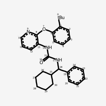 CC(C)(C)c1ccccc1Oc1ncccc1NC(=O)NC(c1ccccc1)C1CCCCC1